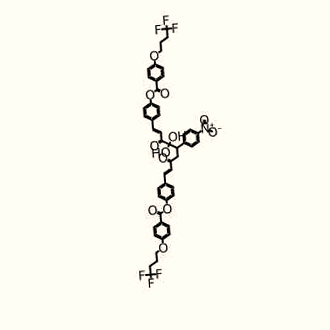 O=C(C=Cc1ccc(OC(=O)c2ccc(OCCCC(F)(F)F)cc2)cc1)CC(c1ccc([N+](=O)[O-])cc1)C(O)(O)C(=O)C=Cc1ccc(OC(=O)c2ccc(OCCCC(F)(F)F)cc2)cc1